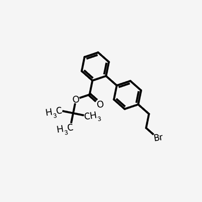 CC(C)(C)OC(=O)c1ccccc1-c1ccc(CCBr)cc1